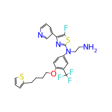 NCCN(c1ccc(OCCCCc2cccs2)c(C(F)(F)F)c1)c1nc(-c2cccnc2)c(F)s1